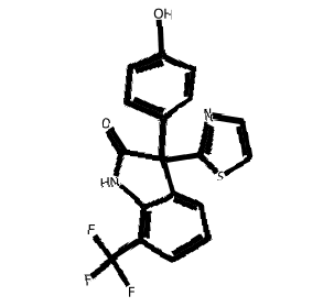 O=C1Nc2c(C(F)(F)F)cccc2C1(c1ccc(O)cc1)c1nccs1